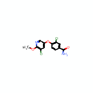 COc1ncc(Oc2ccc(C(N)=O)cc2Cl)cc1Cl